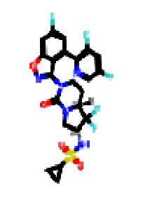 O=C1N(c2noc3cc(F)cc(-c4ncc(F)cc4F)c23)CC[C@H]2N1C[C@@H](NS(=O)(=O)C1CC1)C2(F)F